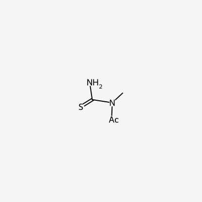 CC(=O)N(C)C(N)=S